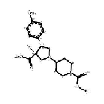 COC(=O)[C@]1(F)CN(C2CCN(C(=O)OC(C)(C)C)CC2)C[C@H]1c1ccc(OC)cc1